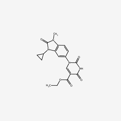 CCOC(=O)c1cn(-c2ccc3c(c2)n(C2CC2)c(=O)n3C)c(=O)[nH]c1=O